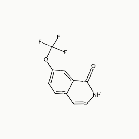 O=c1[nH]ccc2ccc(OC(F)(F)F)cc12